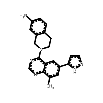 Cc1cc(-c2ccn[nH]2)cc2c(N3CCc4ccc(N)cc4C3)ncnc12